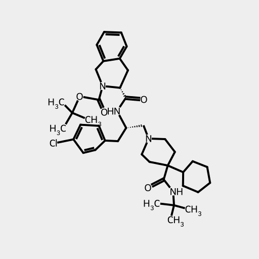 CC(C)(C)NC(=O)C1(C2CCCCC2)CCN(C[C@H](Cc2ccc(Cl)cc2)NC(=O)[C@H]2Cc3ccccc3CN2C(=O)OC(C)(C)C)CC1